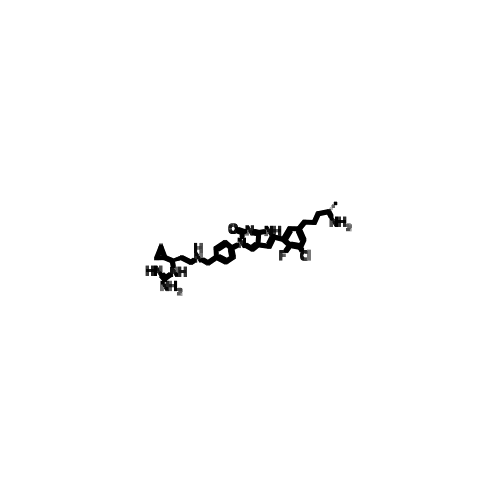 C[C@H](N)CCCc1cc(Cl)c(F)c(-c2cc3cn(-c4ccc(CNCC[C@@H](NC(=N)N)C5CC5)cc4)c(=O)nc3[nH]2)c1